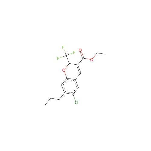 CCCc1cc2c(cc1Cl)C=C(C(=O)OCC)C(C(F)(F)F)O2